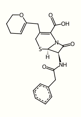 O=C(Cc1ccccc1)N[C@@H]1C(=O)N2C(C(=O)O)=C(CC3=CCCCO3)CS[C@H]12